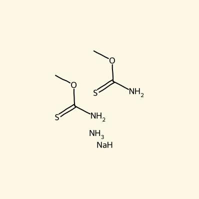 COC(N)=S.COC(N)=S.N.[NaH]